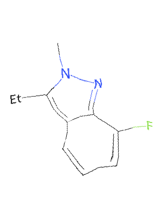 CCc1c2cccc(F)c2nn1C